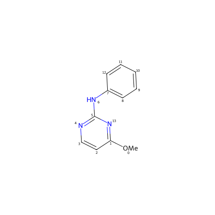 COc1ccnc(Nc2ccccc2)n1